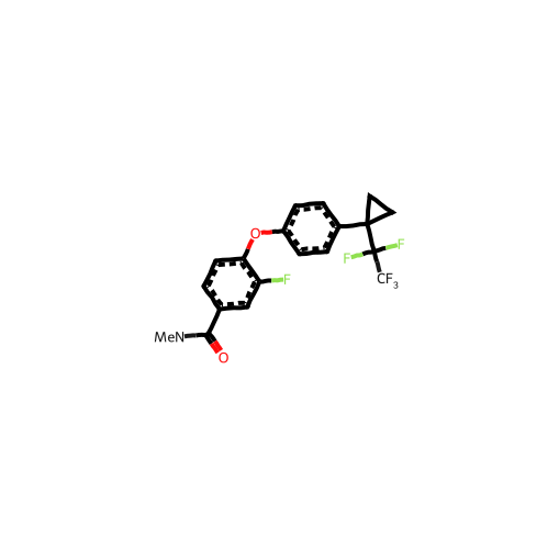 CNC(=O)c1ccc(Oc2ccc(C3(C(F)(F)C(F)(F)F)CC3)cc2)c(F)c1